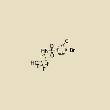 O=S(=O)(N[C@H]1C[C@](O)(C(F)(F)F)C1)c1ccc(Br)c(Cl)c1